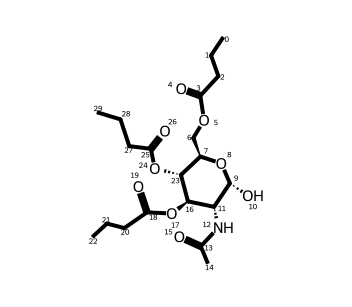 CCCC(=O)OC[C@H]1O[C@H](O)[C@H](NC(C)=O)[C@@H](OC(=O)CCC)[C@@H]1OC(=O)CCC